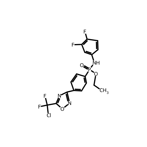 CCOP(=O)(Nc1ccc(F)c(F)c1)c1ccc(-c2noc(C(F)(F)Cl)n2)cc1